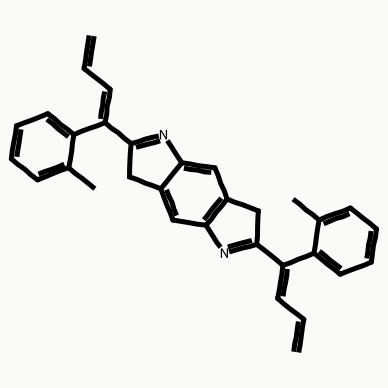 C=C/C=C(/C1=Nc2cc3c(cc2C1)N=C(/C(=C/C=C)c1ccccc1C)C3)c1ccccc1C